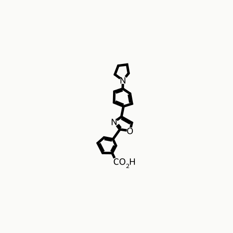 O=C(O)c1cccc(-c2nc(-c3ccc(N4CCCC4)cc3)co2)c1